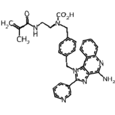 C=C(C)C(=O)NCCN(Cc1ccc(Cn2c(-c3cccnc3)nc3c(N)nc4ccccc4c32)cc1)C(=O)O